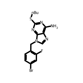 CCCCSc1nc(N)c2ncn(Cc3ccc(Br)cc3F)c2n1